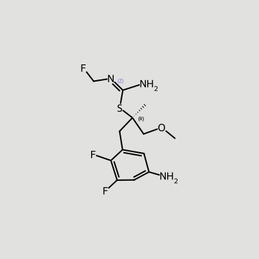 COC[C@@](C)(Cc1cc(N)cc(F)c1F)S/C(N)=N\CF